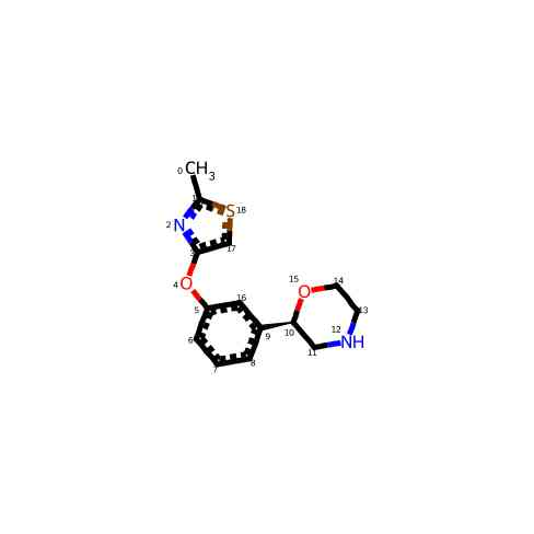 Cc1nc(Oc2cccc([C@@H]3CNCCO3)c2)cs1